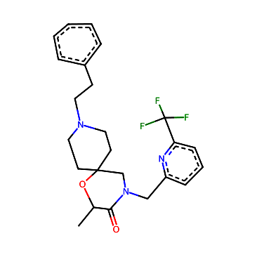 CC1OC2(CCN(CCc3ccccc3)CC2)CN(Cc2cccc(C(F)(F)F)n2)C1=O